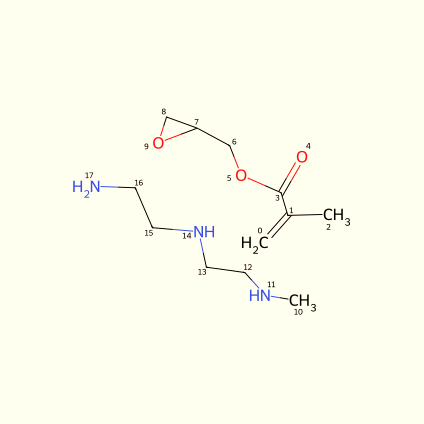 C=C(C)C(=O)OCC1CO1.CNCCNCCN